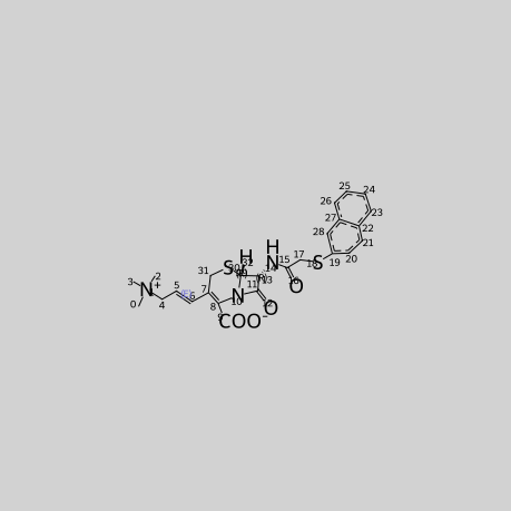 C[N+](C)(C)C/C=C/C1=C(C(=O)[O-])N2C(=O)[C@@H](NC(=O)CSc3ccc4ccccc4c3)[C@H]2SC1